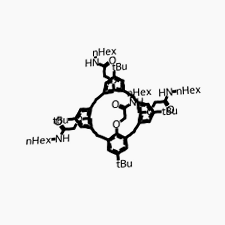 CCCCCCNC(=O)COc1c2cc(C(C)(C)C)cc1Cc1cc(C(C)(C)C)cc(c1OCC(=O)NCCCCCC)Cc1cc(C(C)(C)C)cc(c1OCC(=O)NCCCCCC)Cc1cc(C(C)(C)C)cc(c1OCC(=O)NCCCCCC)C2